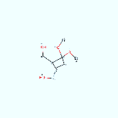 CCOC1(OCC)C[C@H](CO)C1CO